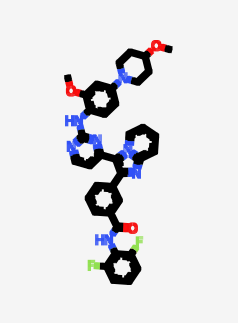 COc1cc(N2CCC(OC)CC2)ccc1Nc1nccc(-c2c(-c3cccc(C(=O)Nc4c(F)cccc4F)c3)nc3ccccn23)n1